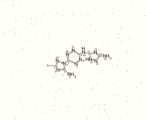 Cc1nc(N)n(-c2nnc(Nc3nc(N)n[nH]3)nn2)n1